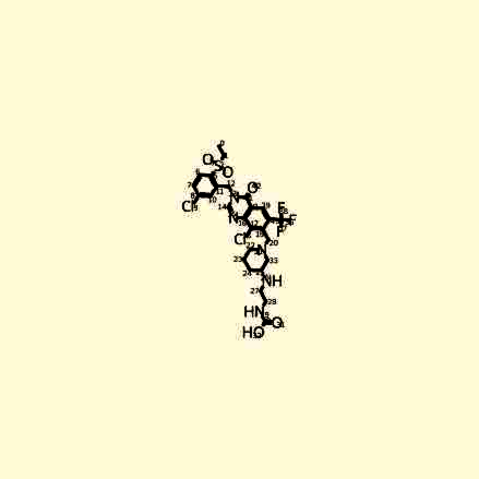 CCS(=O)(=O)c1ccc(Cl)cc1Cn1cnc2c(Cl)c(CN3CCC[C@H](NCCNC(=O)O)C3)c(C(F)(F)F)cc2c1=O